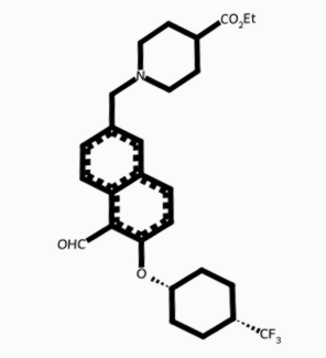 CCOC(=O)C1CCN(Cc2ccc3c(C=O)c(O[C@H]4CC[C@@H](C(F)(F)F)CC4)ccc3c2)CC1